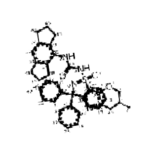 C[C@@H]1COc2c([S@](=O)(=NC(c3ccccc3)(c3ccccc3)c3ccccc3)NC(=O)Nc3c4c(cc5c3C[C@H](F)C5)CCC4)cnn2C1